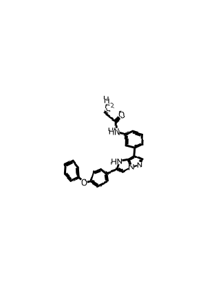 C=CC(=O)Nc1cccc(-c2cnn3cc(-c4ccc(Oc5ccccc5)cc4)[nH]c23)c1